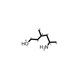 CC(N)CC(C)CCO